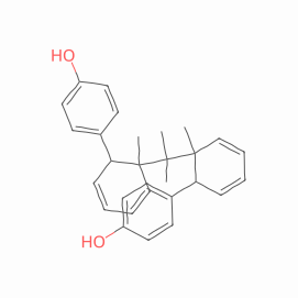 CC1(C(C)(C)C2(C)C=CC=CC2c2ccc(O)cc2)C=CC=CC1c1ccc(O)cc1